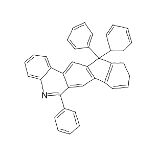 C1=CCC(C2(c3ccccc3)C3=C(C=CCC3)c3cc4c(-c5ccccc5)nc5ccccc5c4cc32)C=C1